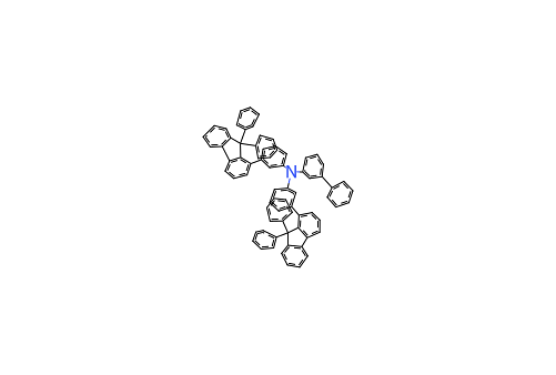 c1ccc(-c2cccc(N(c3cccc(-c4cccc5c4C(c4ccccc4)(c4ccccc4)c4ccccc4-5)c3)c3cccc(-c4cccc5c4C(c4ccccc4)(c4ccccc4)c4ccccc4-5)c3)c2)cc1